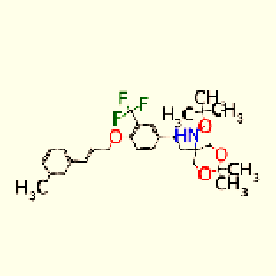 Cc1cccc(/C=C/COc2ccc(CCC3(NOC(C)(C)C)COC(C)(C)OC3)cc2C(F)(F)F)c1